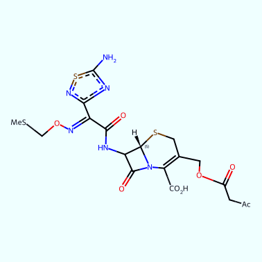 CSCON=C(C(=O)NC1C(=O)N2C(C(=O)O)=C(COC(=O)CC(C)=O)CS[C@@H]12)c1nsc(N)n1